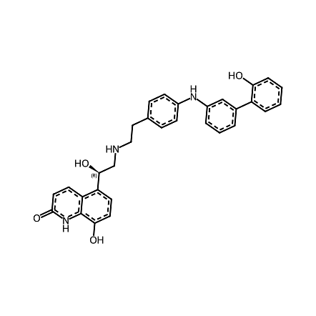 O=c1ccc2c([C@@H](O)CNCCc3ccc(Nc4cccc(-c5ccccc5O)c4)cc3)ccc(O)c2[nH]1